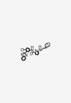 O=C(Nc1ccc(Cl)c(-c2cnc3ccccc3n2)c1)c1cccc(NCCCN2CCOCC2)n1